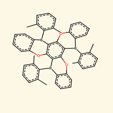 Cc1cccc(C)c1B1c2ccccc2Oc2c1c1c(c3c2B(c2c(C)cccc2C)c2ccccc2O3)B(c2c(C)cccc2C)c2ccccc2O1